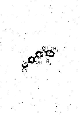 CN(c1ccc(-c2ccc(-n3cc(C#N)cn3)cc2O)nn1)C1C[C@]2(C)CC[C@](C)(C1)N2